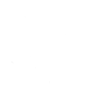 CCC(=O)Oc1ccc(OC(C)=O)c2c1S/C(=C(/C#N)C(=O)OC(C)C)S2